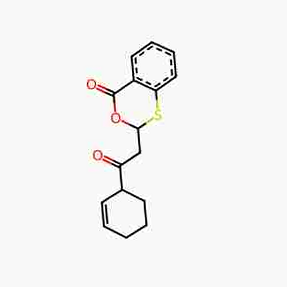 O=C1OC(CC(=O)C2C=CCCC2)Sc2ccccc21